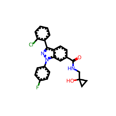 O=C(NCC1(O)CC1)c1ccc2c(-c3ccccc3Cl)nn(-c3ccc(F)cc3)c2c1